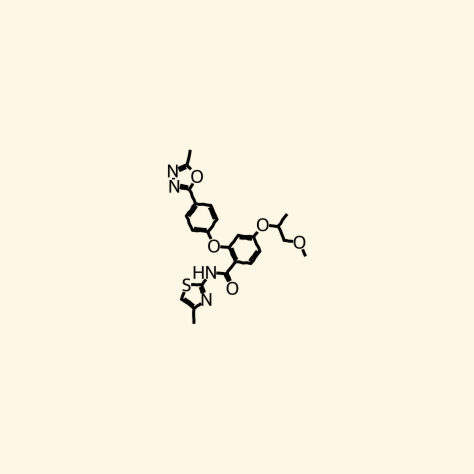 COCC(C)Oc1ccc(C(=O)Nc2nc(C)cs2)c(Oc2ccc(-c3nnc(C)o3)cc2)c1